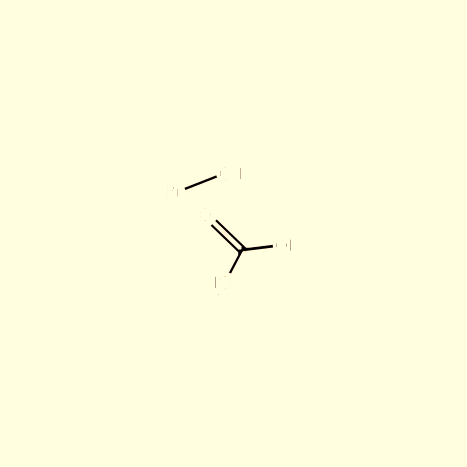 CBr.O=C(O)O